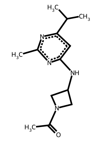 CC(=O)N1CC(Nc2cc(C(C)C)nc(C)n2)C1